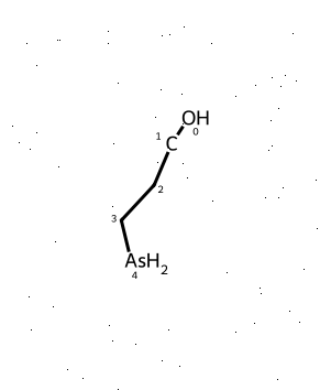 OCCC[AsH2]